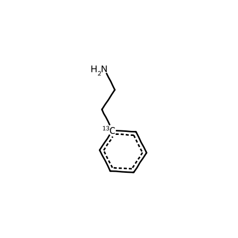 NCC[13c]1ccccc1